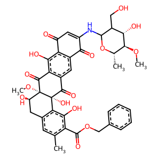 CO[C@H]1[C@H](C)OC(NC2=CC(=O)c3c(cc4c(c3O)C(=O)[C@]3(OC)[C@H](O)Cc5cc(C)c(C(=O)OCc6ccccc6)c(O)c5[C@]3(O)C4=O)C2=O)C(CO)[C@@H]1O